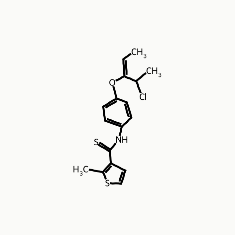 CC=C(Oc1ccc(NC(=S)c2ccsc2C)cc1)C(C)Cl